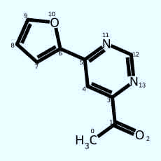 CC(=O)c1cc(-c2ccco2)ncn1